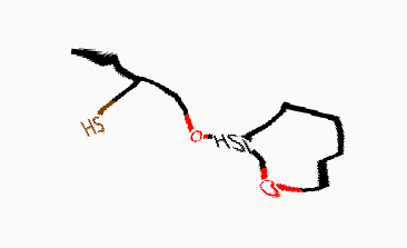 CCC(S)CO[SiH]1CCCCO1